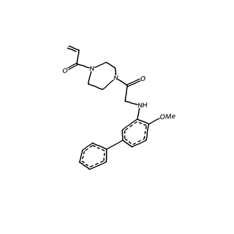 C=CC(=O)N1CCN(C(=O)CNc2cc(-c3ccccc3)ccc2OC)CC1